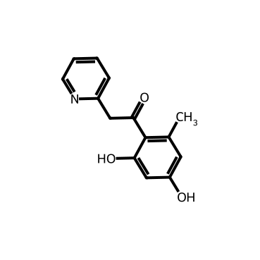 Cc1cc(O)cc(O)c1C(=O)Cc1ccccn1